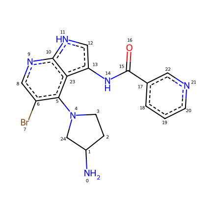 NC1CCN(c2c(Br)cnc3[nH]cc(NC(=O)c4cccnc4)c23)C1